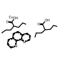 CCCC(CCC)C(=O)O.CCCC(CCC)C(=O)O.[Cu].c1cnc2c(c1)ccc1cccnc12